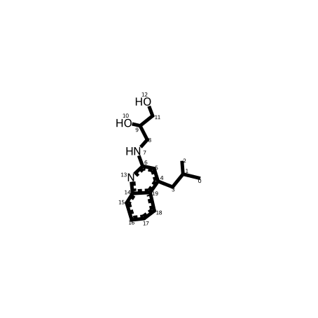 CC(C)Cc1cc(NCC(O)CO)nc2ccccc12